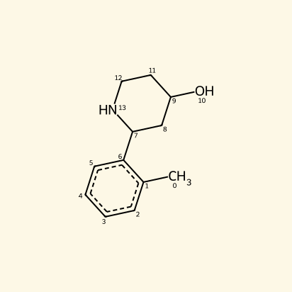 Cc1ccccc1C1CC(O)CCN1